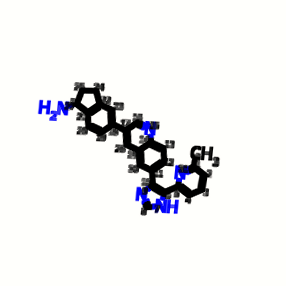 Cc1cccc(-c2[nH]cnc2-c2ccc3ncc(-c4ccc5c(c4)CC[C@@H]5N)cc3c2)n1